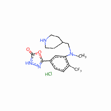 CN(CC1CCNCC1)c1cc(-c2n[nH]c(=O)o2)ccc1C(F)(F)F.Cl